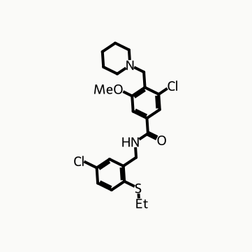 CCSc1ccc(Cl)cc1CNC(=O)c1cc(Cl)c(CN2CCCCC2)c(OC)c1